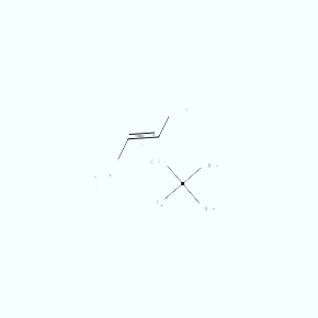 CCCCC(N)(CCCC)CCCC.O=C([O-])/C=C/C(=O)O.[K+]